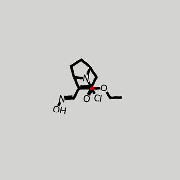 CCOC(=O)N1C2CCC1C(C=NO)=C(Cl)C2